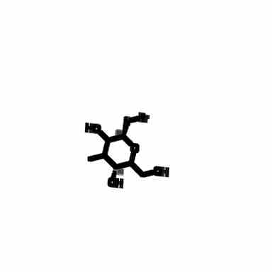 CC1C(O)[C@@H](SBr)OC(CO)[C@@H]1O